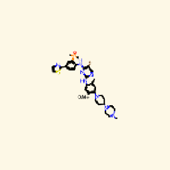 COc1cc(Nc2ncc(Br)c(Nc3ccc(-c4nccs4)cc3P(C)(C)=O)n2)c(C)cc1N1CCC(N2CCN(C)CC2)CC1